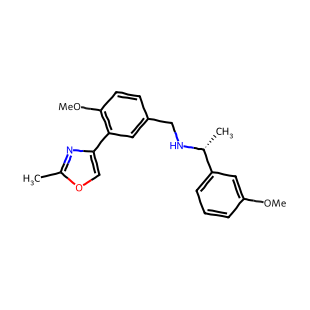 COc1cccc([C@@H](C)NCc2ccc(OC)c(-c3coc(C)n3)c2)c1